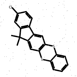 CC1(C)c2cc(Cl)ccc2-c2cc3c(cc21)Sc1ccccc1S3